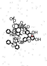 COC(=O)[C@H]1C(=O)[C@@]2(C)[C@@H](CO[C@@H](COC(C)=O)CC2(C)OC(=O)C(C)NC(=O)c2ccc(-c3c4ccc(=O)cc-4oc4cc(O)ccc34)c(C(=O)O)c2)[C@@]2(OC(=O)c3ccccc3)C3(O)CC(OC(=O)C(O)C(NC(=O)c4ccccc4)c4ccccc4)C(C)=C1[C@@]32C